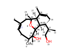 CC(=O)O[C@H]1C/C=C(/C)C[C@H]2O[C@H]([C@@H]3[C@@H]([C@@H](C)CO)CC=C(C)[C@@H]32)[C@]1(C)O